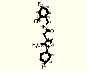 O=C(Cc1cnn(-c2ccc(F)cc2)c1C(F)(F)F)NCc1ccc(F)cc1Cl